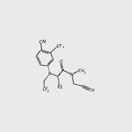 C#CCN(C)C(=O)C(CC)N(CC(F)(F)F)c1ccc(C#N)c(C(F)(F)F)c1